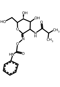 CC(C)C(=O)NC1/C(=N/OC(=O)Nc2ccccc2)OC(CO)[C@@H](O)C1O